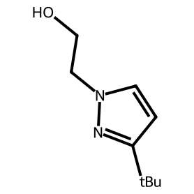 CC(C)(C)c1ccn(CCO)n1